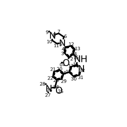 COc1cc(N2CCN(C)CC2)ccc1Nc1cc(-c2cccc(C(=O)N(C)C)c2)ccn1